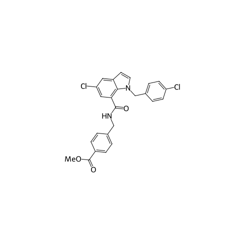 COC(=O)c1ccc(CNC(=O)c2cc(Cl)cc3ccn(Cc4ccc(Cl)cc4)c23)cc1